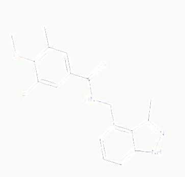 COc1c(C)cc(C(=O)NCc2cccc3[nH]nc(C)c23)cc1F